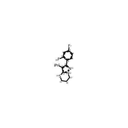 CC(C)c1c(-c2ccc(F)cc2F)nn2c1SCCC2